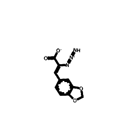 N=[N+]=NC(=Cc1ccc2c(c1)OCO2)C(=O)[O-]